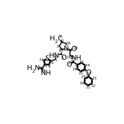 C=C1C[C@@H](C(=O)NCc2cc(C(=N)N)cs2)N(C(=O)CNC(=O)c2ccc(Oc3ccccc3)cc2)C1